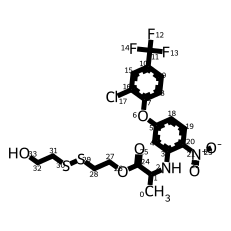 CC(Nc1cc(Oc2ccc(C(F)(F)F)cc2Cl)ccc1[N+](=O)[O-])C(=O)OCCSSCCO